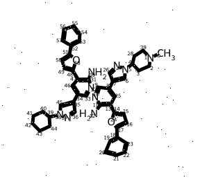 CN1CCC(n2cc(-c3cnc(N)c(-c4ccc(-c5ccccc5)o4)c3)cn2)CC1.Nc1ncc(-c2cnn(C3CCCCC3)c2)cc1-c1ccc(-c2ccccc2)o1